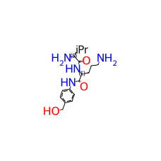 CC(C)[C@H](N)C(=O)N[C@@H](CCCN)C(=O)Nc1ccc(CO)cc1